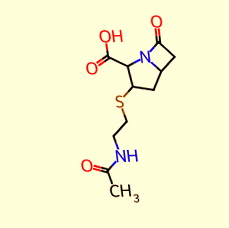 CC(=O)NCCSC1CC2CC(=O)N2C1C(=O)O